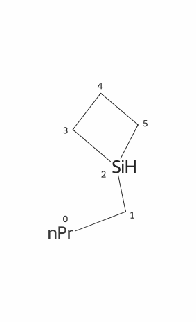 CCCC[SiH]1CCC1